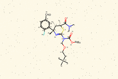 C[C@@H]1[C@@](C)(C(=O)N(C)C)SC(N(COCC[Si](C)(C)C)C(=O)OC(C)(C)C)=N[C@]1(C)c1cc(C=O)ccc1F